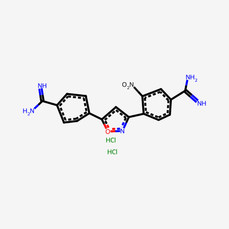 Cl.Cl.N=C(N)c1ccc(-c2cc(-c3ccc(C(=N)N)cc3[N+](=O)[O-])no2)cc1